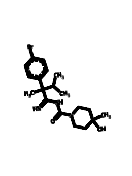 CC(C)C(C)(C(=N)NC(=O)N1CCC(C)(O)CC1)c1ccc(Br)cc1